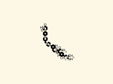 Cc1c(/C=C/N(C)C=N)ccc(-c2nn3c(c2C(N)=O)Nc2ccc(N4CCN(CC5CCN(c6ccc(N7CCC(=O)NC7=O)cc6)CC5)CC4)cc2CC3)c1F